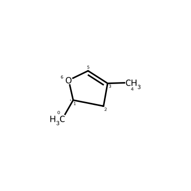 C[C]1CC(C)=CO1